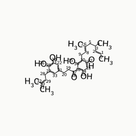 C/C=C/C(C)C/C(C)=C/Cc1c(O)cc(O)c(C(=O)CCc2cc(O)c(O)c(CC=C(C)C)c2)c1O